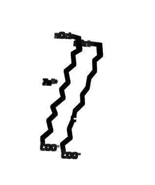 CCCCCCCC/C=C\CCCCCCCCCCCC(=O)[O-].CCCCCCCC/C=C\CCCCCCCCCCCC(=O)[O-].[Zn+2]